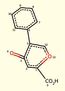 O=C(O)c1cc(=O)c(-c2ccccc2)co1